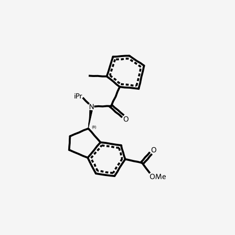 COC(=O)c1ccc2c(c1)[C@H](N(C(=O)c1ccccc1C)C(C)C)CC2